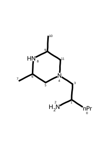 CCCC(N)CN1CC(C)NC(C)C1